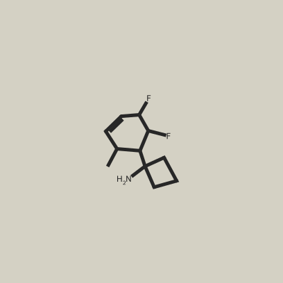 CC1C=CC(F)C(F)C1C1(N)CCC1